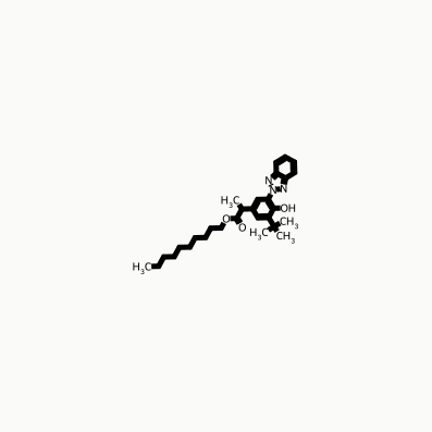 CCCCCCCCCCOC(=O)C(C)c1cc(-n2nc3ccccc3n2)c(O)c(C(C)(C)C)c1